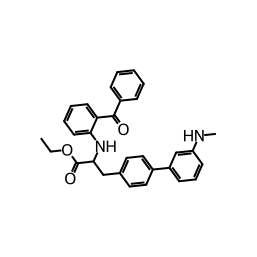 CCOC(=O)C(Cc1ccc(-c2cccc(NC)c2)cc1)Nc1ccccc1C(=O)c1ccccc1